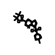 Cc1ccc(S(=O)(=O)n2ccc3cc(B4OC(C)(C)C(C)(C)O4)cnc32)cc1